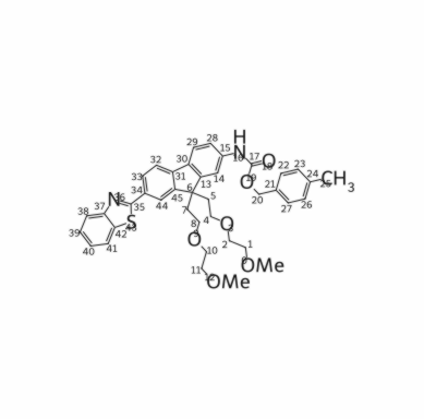 COCCOCCC1(CCOCCOC)c2cc(NC(=O)OCc3ccc(C)cc3)ccc2-c2ccc(-c3nc4ccccc4s3)cc21